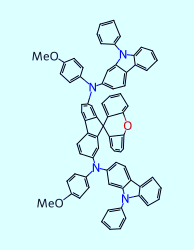 COc1ccc(N(c2ccc3c(c2)C2(c4ccccc4Oc4ccccc42)c2cc(N(c4ccc(OC)cc4)c4ccc5c6ccccc6n(-c6ccccc6)c5c4)ccc2-3)c2ccc3c4ccccc4n(-c4ccccc4)c3c2)cc1